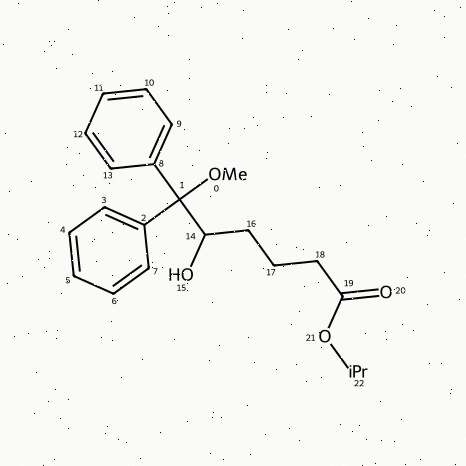 COC(c1ccccc1)(c1ccccc1)C(O)CCCC(=O)OC(C)C